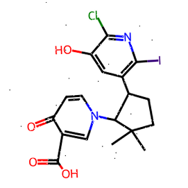 CC1(C)CCC(c2cc(O)c(Cl)nc2I)C1n1ccc(=O)c(C(=O)O)c1